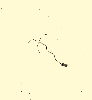 CO[Si](CSCCC#N)(OC)OC